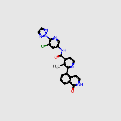 Cc1c(C(=O)Nc2cnc(-n3nccn3)c(Cl)c2)ccnc1-c1cccc2c(=O)[nH]ccc12